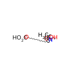 C=C1CC[C@@]2(O)C3Cc4ccc(CCCCCCCCCCCCCCCOC(=O)O)c5c4[C@@]2(CCN3CC2CC2)[C@H]1O5